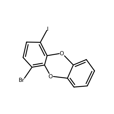 Brc1ccc(I)c2c1Oc1ccccc1O2